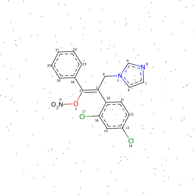 O=[N+]([O-])O/C(=C(/Cn1ccnc1)c1ccc(Cl)cc1Cl)c1ccccc1